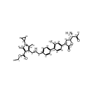 CCOC(=O)c1c(CNCc2ccc(-c3ccc(N4CC([C@H](N)C(C)=O)OC4=O)cc3F)cc2)c(C)n(C2CC2)c1C